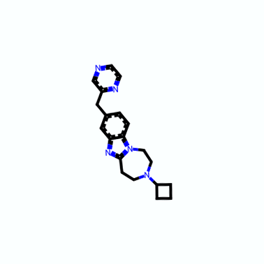 c1cnc(Cc2ccc3c(c2)nc2n3CCN(C3CCC3)CC2)cn1